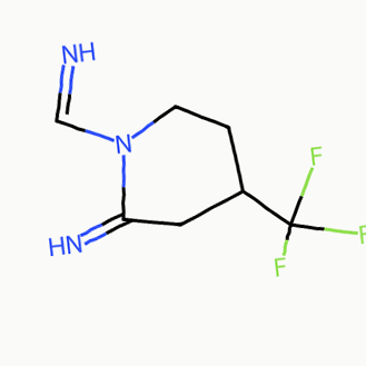 N=CN1CCC(C(F)(F)F)CC1=N